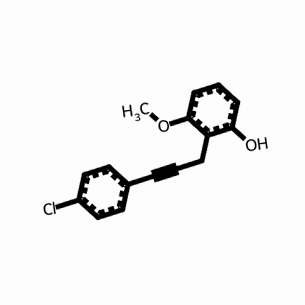 COc1cccc(O)c1CC#Cc1ccc(Cl)cc1